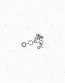 CC(=O)N1CCC(NS(C)(=O)=O)C1COC1CCC(c2ccccc2)CC1